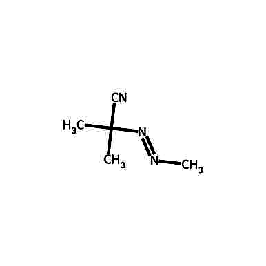 CN=NC(C)(C)C#N